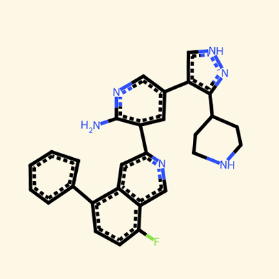 Nc1ncc(-c2c[nH]nc2C2CCNCC2)cc1-c1cc2c(-c3ccccc3)ccc(F)c2cn1